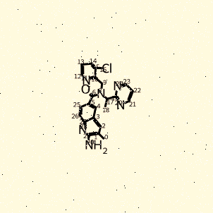 Cc1cc2cc(C(=O)N(Cc3ncccc3Cl)C(C)c3ncccn3)ccc2nc1N